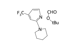 CC(C)(C)OC=O.FC(F)(F)c1ccnc(N2CCCCC2)c1